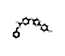 O=C(OCc1ccccc1)N1CCC(Oc2cnc(N3CCC(O)CC3)nc2)CC1